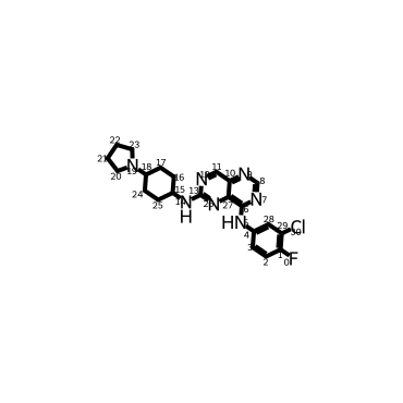 Fc1ccc(Nc2ncnc3cnc(NC4CCC(N5CCCC5)CC4)nc23)cc1Cl